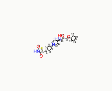 O=C1NC(=O)C(Cc2ccc(N3CCC(NCC(O)COc4ccccc4)CC3)cc2)S1